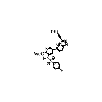 COc1ncc(-c2ccc3nnc(C#CC(C)(C)C)n3n2)cc1NS(=O)(=O)c1ccc(F)cc1